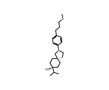 COCCCc1ccc(N2CC[C@]3(CC[C@@](O)(C(C)C)CC3)C2)cc1